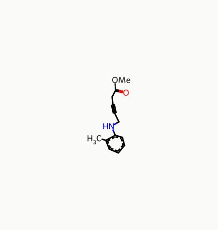 COC(=O)CC#CCNc1ccccc1C